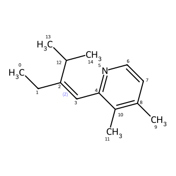 CC/C(=C/c1nccc(C)c1C)C(C)C